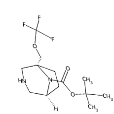 CC(C)(C)OC(=O)N1[C@H]2CC[C@]1(COC(F)(F)F)CNC2